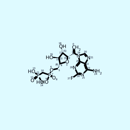 C=C([C@@H]1O[C@H](COP(=O)(O)CP(=O)(O)O)[C@@H](O)[C@@H]1O)n1cnc2c(N)nc(F)nc21